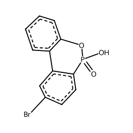 O=P1(O)Oc2ccccc2-c2cc(Br)ccc21